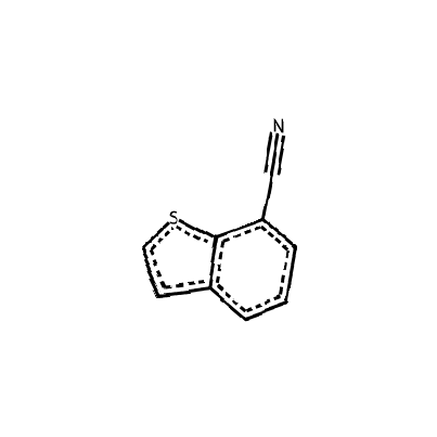 N#Cc1cccc2ccsc12